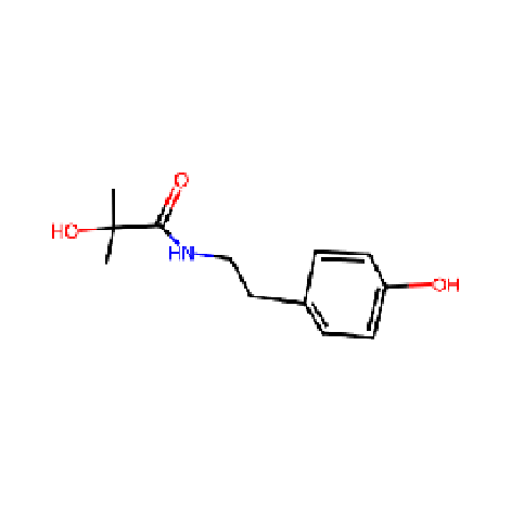 CC(C)(O)C(=O)NCCc1ccc(O)cc1